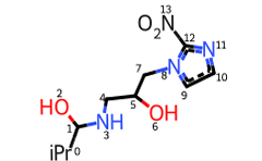 CC(C)C(O)NCC(O)Cn1ccnc1[N+](=O)[O-]